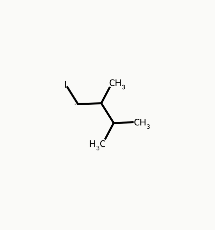 CC(C)C(C)[CH]I